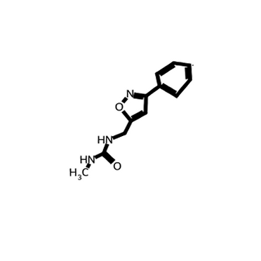 CNC(=O)NCc1cc(-c2cc[c]cc2)no1